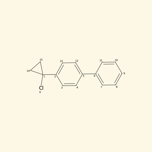 ClC1(c2ccc(-c3ccccc3)cc2)CC1